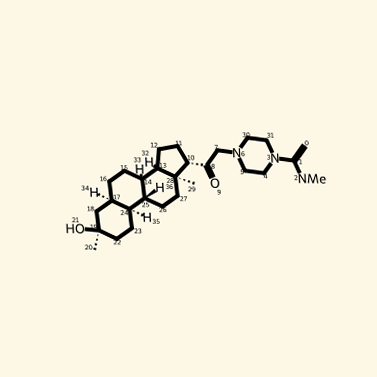 C=C(NC)N1CCN(CC(=O)[C@H]2CC[C@H]3[C@@H]4CC[C@@H]5C[C@](C)(O)CC[C@@H]5[C@H]4CC[C@]23C)CC1